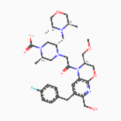 COC[C@H]1COc2nc(CO)c(Cc3ccc(F)cc3)cc2N1C(=O)CN1C[C@@H](C)N(C(=O)O)C[C@@H]1CN1[C@H](C)COC[C@H]1C